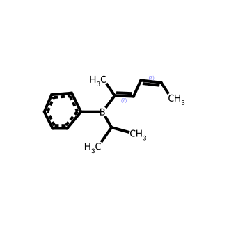 C/C=C\C=C(/C)B(c1ccccc1)C(C)C